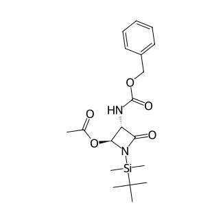 CC(=O)O[C@H]1[C@H](NC(=O)OCc2ccccc2)C(=O)N1[Si](C)(C)C(C)(C)C